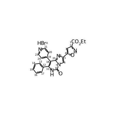 Br.CCOC(=O)c1cc(-c2cn3c(=O)[nH]c(-c4ccccc4)c(-c4ccncc4)c3n2)on1